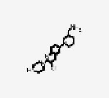 NCC1CCCN(c2ccc3nc(N4CCNCC4)c(Cl)cc3c2)C1